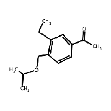 CCc1cc(C(C)=O)ccc1COC(C)C